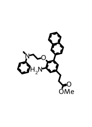 COC(=O)CCc1cc(N)c(OCCN(C)c2ccccc2)c(-c2ccc3ccccc3c2)c1